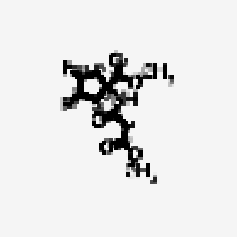 COC(=O)CC(=O)NC1(C(=O)OC)CC(F)C(F)C1